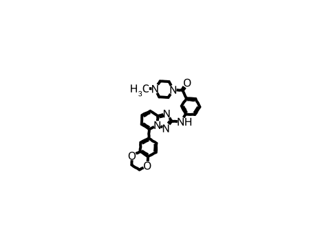 CN1CCN(C(=O)c2cccc(Nc3nc4cccc(-c5ccc6c(c5)OCCO6)n4n3)c2)CC1